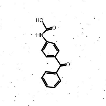 O=C(O)Nc1ccc(C(=O)c2ccccc2)cc1